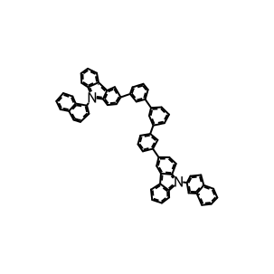 c1cc(-c2cccc(-c3ccc4c(c3)c3ccccc3n4-c3ccc4ccccc4c3)c2)cc(-c2cccc(-c3ccc4c(c3)c3ccccc3n4-c3cccc4ccccc34)c2)c1